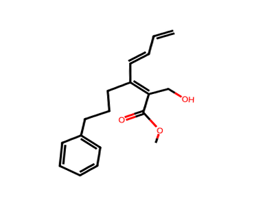 C=CC=CC(CCCc1ccccc1)=C(CO)C(=O)OC